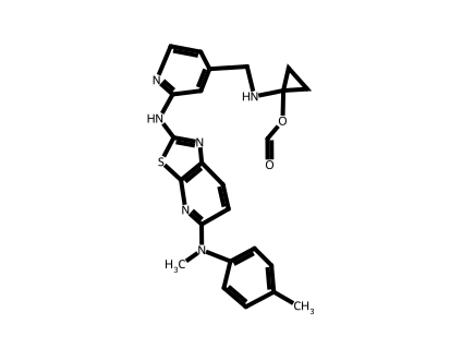 Cc1ccc(N(C)c2ccc3nc(Nc4cc(CNC5(OC=O)CC5)ccn4)sc3n2)cc1